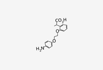 CC(C(=O)O)c1ccccc1OCCOc1ccc(N)cc1